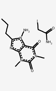 CCCc1nc2c(c(=O)n(C)c(=O)n2C)n1N.NC(=O)CI